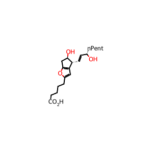 CCCCC[C@H](O)/C=C/[C@@H]1c2cc(CCCCC(=O)O)oc2C[C@H]1O